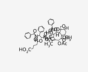 CC(=O)O[C@H]1C(=O)C2(C)C(O)C[C@H]3OC[C@@]3(OC(C)=O)[C@H]2[C@H](OC(=O)c2ccccc2)[C@]2(O)C[C@H](OC(=O)[C@H](OC(=O)CCCC(=O)O)[C@@H](NC(=O)c3ccccc3)c3ccccc3)C(C)=C1C2(C)C